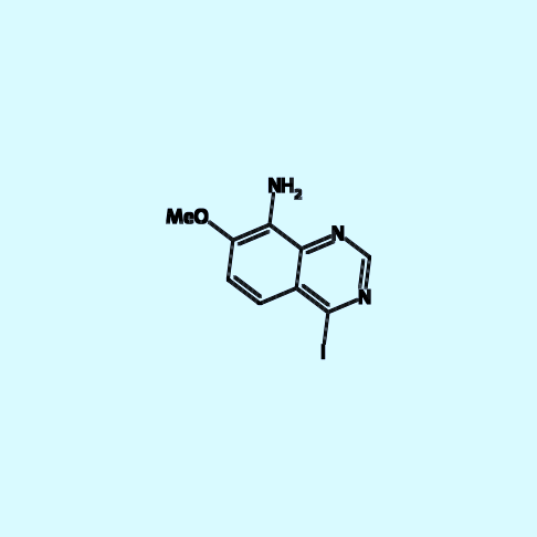 COc1ccc2c(I)ncnc2c1N